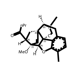 CCCC(=O)[C@@H]1C[C@@]23C=C[C@@]1(OC)[C@@H]1Oc4c(C)ccc5c4[C@@]12CCN(C)[C@@H]3C5